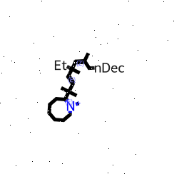 CCCCCCCCCCC/C(C)=C\C(C)(/C=C/C(C)(C)/C1=[N+](\C)CCCCCC1)CC